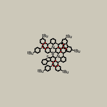 CC(C)(C)c1ccc(N(c2ccc(C(C)(C)C)cc2)c2ccc3c(c2)N(c2c(-c4ccccc4)cccc2-c2ccccc2)c2cc(-n4c5ccc(C(C)(C)C)cc5c5cc(C(C)(C)C)ccc54)cc4c2B3c2c(cc(N(c3ccc(C(C)(C)C)cc3)c3ccc(C(C)(C)C)cc3)c3c2sc2ccccc23)N4c2c(-c3ccccc3)cccc2-c2ccccc2)cc1